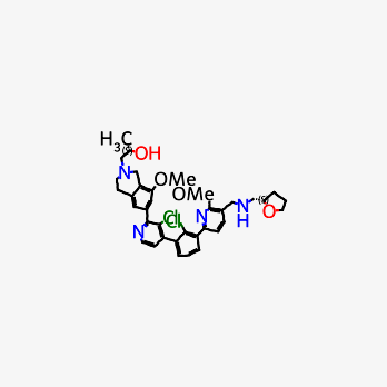 COc1cc(-c2nccc(-c3cccc(-c4ccc(CNC[C@@H]5CCCO5)c(OC)n4)c3Cl)c2Cl)cc2c1CN(C[C@H](C)O)CC2